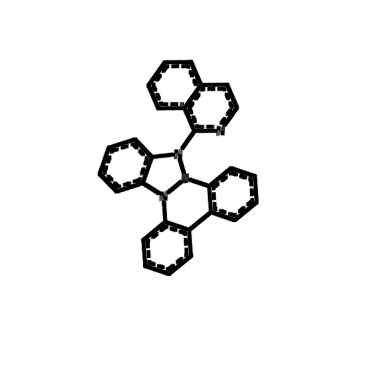 c1ccc2c(c1)B1N(c3ccccc3-2)c2ccccc2N1c1nccc2ccccc12